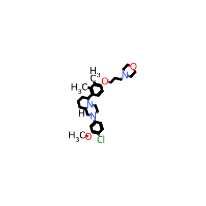 COc1cc(N2CCN3C(c4ccc(OCCCN5CCOCC5)c(C)c4C)CCC[C@H]3C2)ccc1Cl